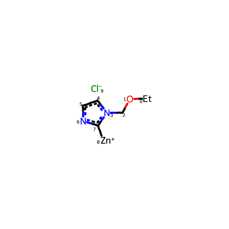 CCOCn1ccn[c]1[Zn+].[Cl-]